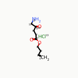 C=CCCOC(=O)CCC(=O)CN.Cl